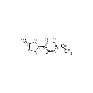 O=C1CCC(c2ccc(OC(F)(F)F)cc2)C1